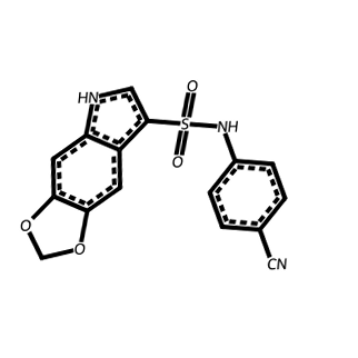 N#Cc1ccc(NS(=O)(=O)c2c[nH]c3cc4c(cc23)OCO4)cc1